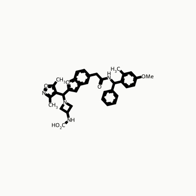 COc1ccc(C(NC(=O)Cc2ccc3oc(C(c4c(C)noc4C)N4CC(NC(=O)O)C4)cc3c2)c2ccccc2)c(C)c1